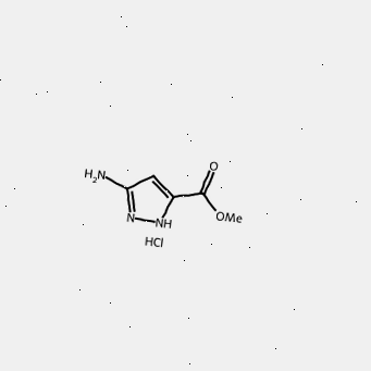 COC(=O)c1cc(N)n[nH]1.Cl